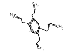 C=CCc1[c]c(CC=C)c(CC=C)cc1CC=C